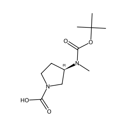 CN(C(=O)OC(C)(C)C)[C@@H]1CCN(C(=O)O)C1